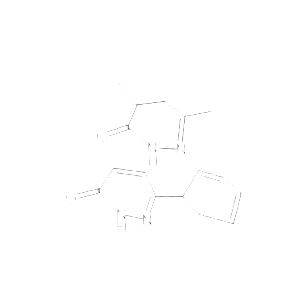 CC1=NNC(=O)C(C)C1.O=c1ccc(-c2ccccc2)n[nH]1